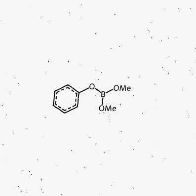 COB(OC)Oc1ccccc1